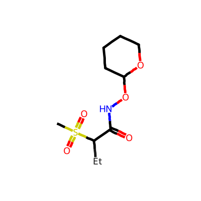 CCC(C(=O)NOC1CCCCO1)S(C)(=O)=O